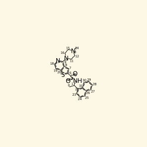 CC(NS(=O)(=O)c1cc2c(N3CCN(C)CC3)nccc2s1)c1cccc2ccccc12